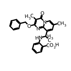 Cc1cc(C(C)Nc2ccccc2C(=O)O)c2nc(OCc3ccccc3)c(C)c(=O)n2c1